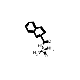 NP(N)(=O)NC(=O)c1ccc2ccccc2c1